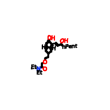 CCCCCC(O)C=C[C@@H]1[C@@H]2CC(CCOCC(=O)N(CC)CC)C[C@H]2C[C@H]1O